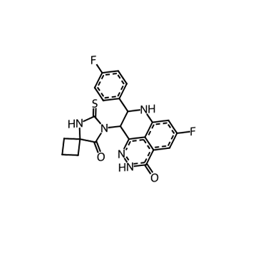 O=C1N(C2c3n[nH]c(=O)c4cc(F)cc(c34)NC2c2ccc(F)cc2)C(=S)NC12CCC2